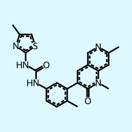 Cc1cc2c(cn1)cc(-c1cc(NC(=O)Nc3nc(C)cs3)ccc1C)c(=O)n2C